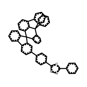 c1ccc(-c2nnc(-c3ccc(-c4ccc5c(c4)C4(c6ccccc6-5)c5ccccc5C5(c6ccccc6)c6ccccc6-c6cccc4c65)cc3)o2)cc1